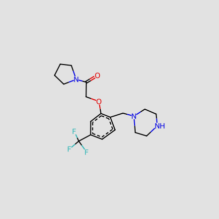 O=C(COc1cc(C(F)(F)F)ccc1CN1CCNCC1)N1CCCC1